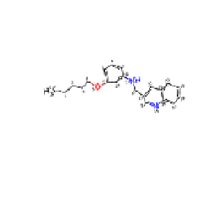 CCCCCOc1cccc(NCc2cnc3ccccc3c2)c1